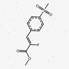 COC(=O)/C(F)=C/c1ccc(S(C)(=O)=O)cc1